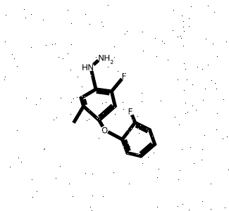 Cc1cc(NN)c(F)cc1Oc1ccccc1F